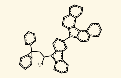 NC(CC1(c2ccccc2)c2ccccc21)n1c2ccccc2c2cc(-n3c4ccc5ccccc5c4c4c5ccccc5ccc43)ccc21